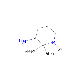 CCCCCCC1(CCCCCC)C(N)CCCN1CC